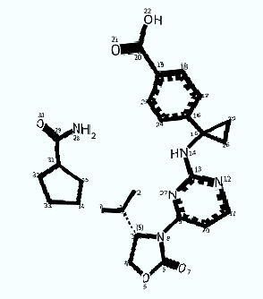 CC(C)[C@H]1COC(=O)N1c1ccnc(NC2(c3ccc(C(=O)O)cc3)CC2)n1.NC(=O)C1CCCC1